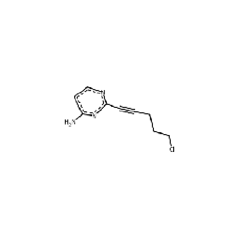 Nc1ccnc(C#CCCCCl)n1